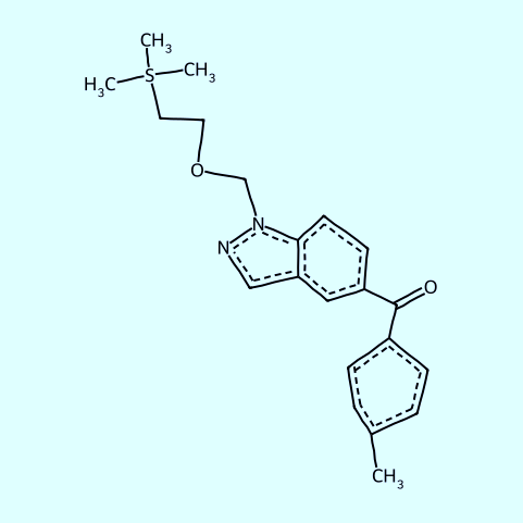 Cc1ccc(C(=O)c2ccc3c(cnn3COCCS(C)(C)C)c2)cc1